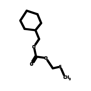 CSCOC(=O)OCC1CCCCC1